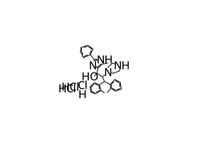 Cc1ccccc1C(c1ccccc1C)C(C(O)c1nc(-c2ccccc2)[nH]c1C)N1CCNCC1.Cl.Cl.Cl